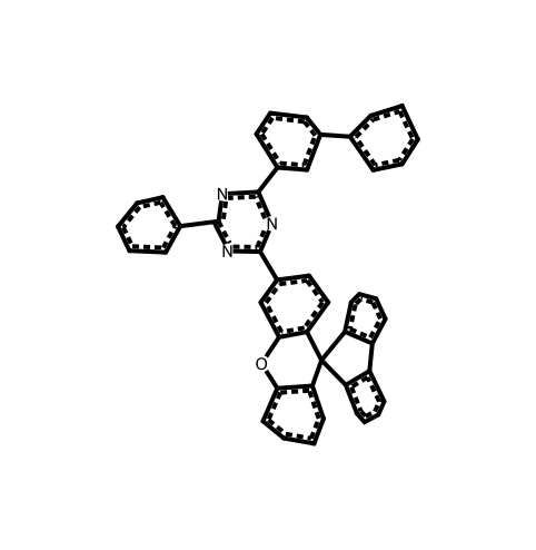 c1ccc(-c2cccc(-c3nc(-c4ccccc4)nc(-c4ccc5c(c4)Oc4ccccc4C54c5ccccc5-c5ccccc54)n3)c2)cc1